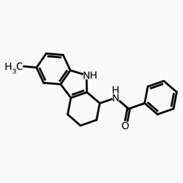 Cc1ccc2[nH]c3c(c2c1)CCCC3NC(=O)c1ccccc1